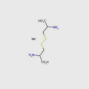 NC(CSSCC(N)C(=O)O)C(=O)O.[Nd]